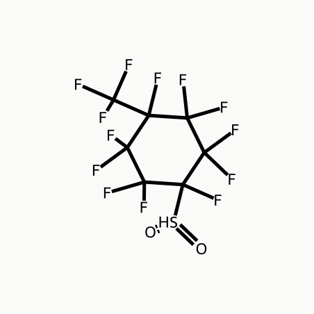 O=[SH](=O)C1(F)C(F)(F)C(F)(F)C(F)(C(F)(F)F)C(F)(F)C1(F)F